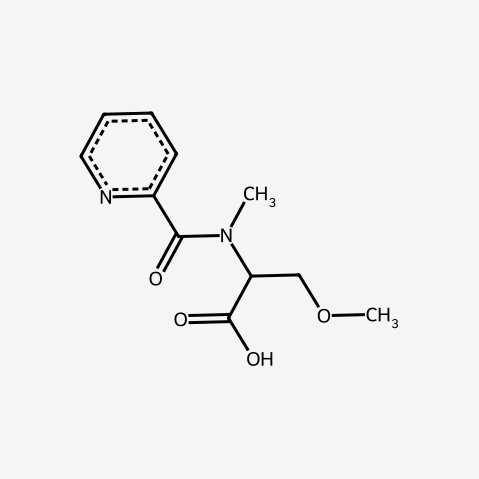 COCC(C(=O)O)N(C)C(=O)c1ccccn1